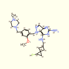 COc1cc(CN2CCN(C)CC2)ccc1Cn1ncc2nc(N)nc(NCC3CC4(C3)CC4F)c21